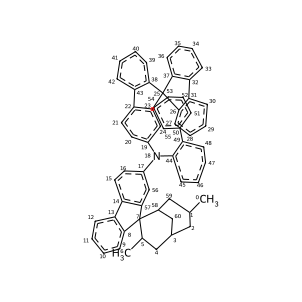 CC1CC2CC(C)C3(c4ccccc4-c4ccc(N(c5ccc6c(c5)C5(c7ccccc7-c7ccccc75)c5ccccc5-6)c5ccccc5-c5ccccc5)cc43)C(C1)C2